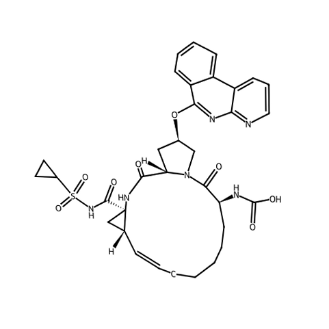 O=C(O)N[C@H]1CCCCC/C=C\[C@@H]2C[C@@]2(C(=O)NS(=O)(=O)C2CC2)NC(=O)[C@@H]2C[C@@H](Oc3nc4ncccc4c4ccccc34)CN2C1=O